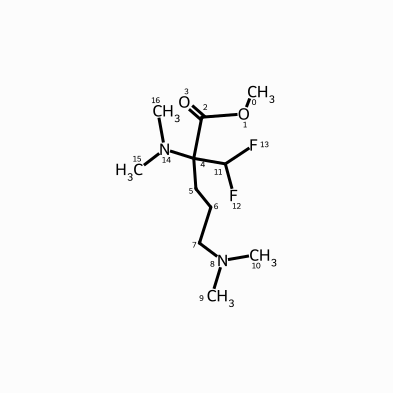 COC(=O)C(CCCN(C)C)(C(F)F)N(C)C